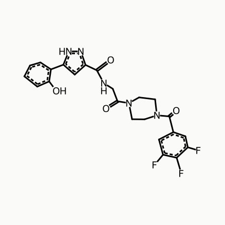 O=C(NCC(=O)N1CCN(C(=O)c2cc(F)c(F)c(F)c2)CC1)c1cc(-c2ccccc2O)[nH]n1